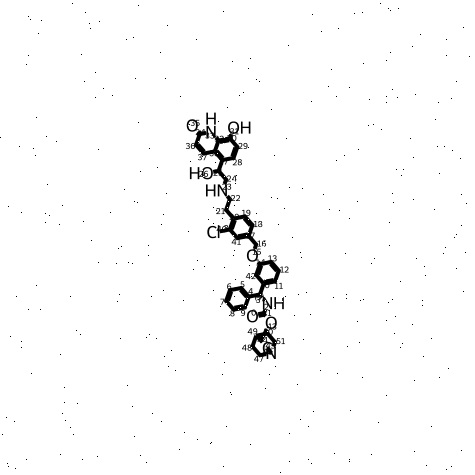 O=C(N[C@@H](c1ccccc1)c1cccc(OCc2ccc(CCNCC(O)c3ccc(O)c4[nH]c(=O)ccc34)c(Cl)c2)c1)OC1CN2CCC1CC2